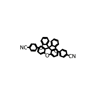 N#Cc1ccc(Oc2ccccc2C2(c3ccccc3Oc3ccc(C#N)cc3)c3ccccc3Oc3ccccc32)cc1